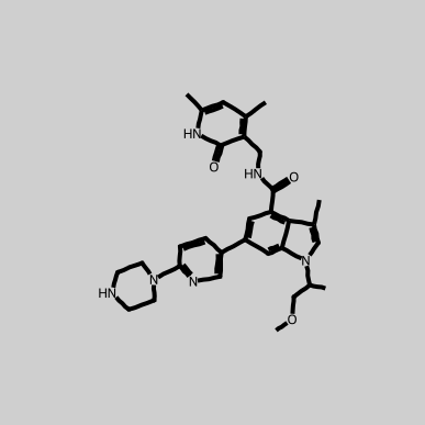 COCC(C)n1cc(C)c2c(C(=O)NCc3c(C)cc(C)[nH]c3=O)cc(-c3ccc(N4CCNCC4)nc3)cc21